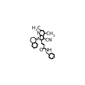 Cc1cc(C)c2c(C#N)c(C=CC(=O)NCc3ccccc3)n([C@H]3CCCc4ccccc43)c2n1